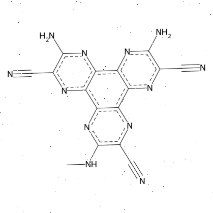 CNc1nc2c3nc(C#N)c(N)nc3c3nc(N)c(C#N)nc3c2nc1C#N